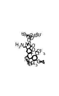 Cn1ncc(-c2cc(OCC(F)(F)F)c3c(=O)n(COP(=O)(OC(C)(C)C)OC(C)(C)C)nc(CN)c3c2)c1-c1c(F)c(Cl)cc(OC2CC2)c1C#N